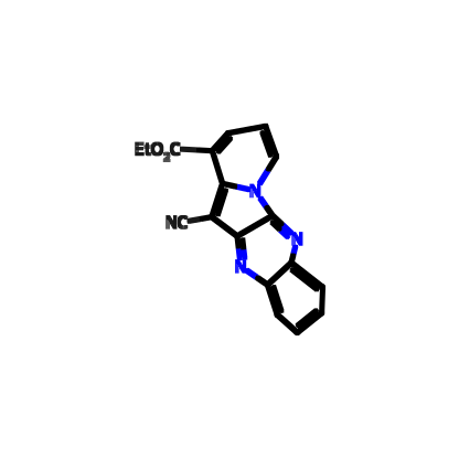 CCOC(=O)c1cccn2c1c(C#N)c1nc3ccccc3nc12